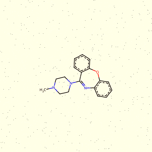 CN1CCN(C2=Nc3ccccc3Oc3ccccc32)CC1